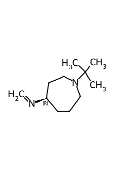 C=N[C@@H]1CCCN(C(C)(C)C)CC1